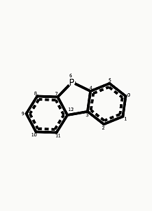 c1ccc2c(c1)[P]c1ccccc1-2